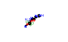 CC(Oc1c(N)ncc2c(-c3cnn(C4CCNCC4)c3)coc12)c1c(Cl)c(F)cc(OCCN(C)C)c1Cl